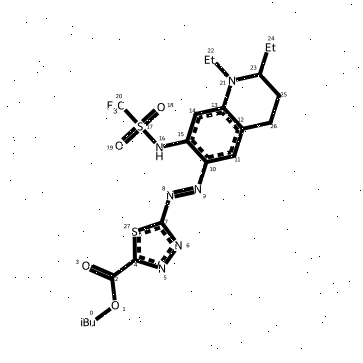 CCC(C)OC(=O)c1nnc(N=Nc2cc3c(cc2NS(=O)(=O)C(F)(F)F)N(CC)C(CC)CC3)s1